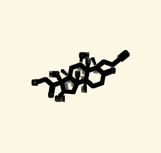 C#CCC[C@@]1(C)C(=O)CC[C@@H]2[C@@H]1[C@@H](O)C[C@@]1(C)[C@H]2C[C@@H](O)[C@]1(O)C(=O)CCl